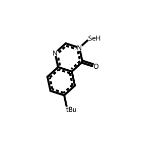 CC(C)(C)c1ccc2ncn([SeH])c(=O)c2c1